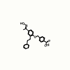 C/C(=N\O)c1ccc(OCc2ccc(C(=O)O)cc2)c(CCc2ccccc2)c1